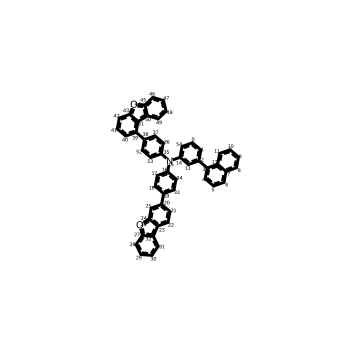 c1cc(-c2cccc3ccccc23)cc(N(c2ccc(-c3ccc4c(c3)oc3ccccc34)cc2)c2ccc(-c3cccc4oc5ccccc5c34)cc2)c1